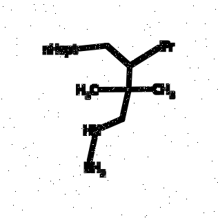 BNCC(C)(C)C(CCCCCCCC)C(C)C